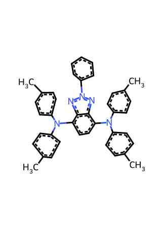 Cc1ccc(N(c2ccc(C)cc2)c2ccc(N(c3ccc(C)cc3)c3ccc(C)cc3)c3nn(-c4ccccc4)nc23)cc1